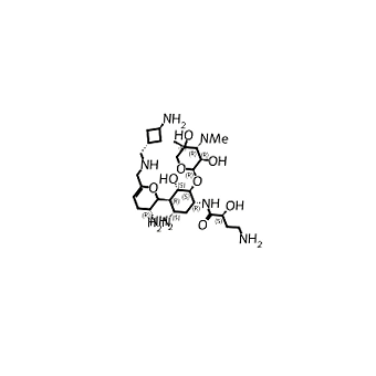 CN[C@@H]1[C@@H](O)[C@@H](O[C@@H]2[C@@H](O)[C@H](C3OC(CNC[C@H]4C[C@H](N)C4)=CC[C@H]3N)[C@@H](N)C[C@H]2NC(=O)[C@@H](O)CCN)OC[C@]1(C)O